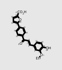 CCOc1cc(/C=C/C(=O)c2ccc(-c3ccc(C(=O)O)o3)cc2)ccc1O